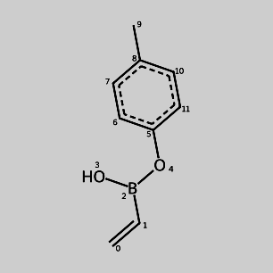 C=CB(O)Oc1ccc(C)cc1